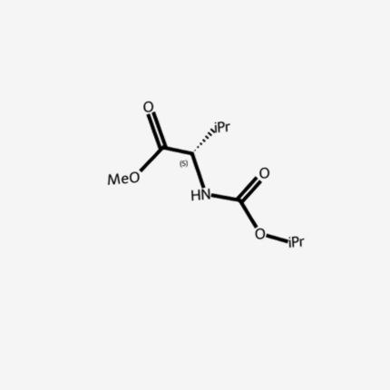 COC(=O)[C@@H](NC(=O)OC(C)C)C(C)C